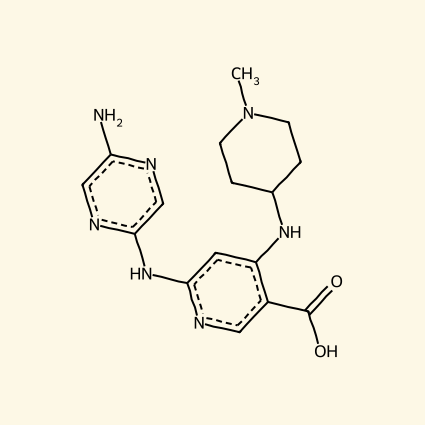 CN1CCC(Nc2cc(Nc3cnc(N)cn3)ncc2C(=O)O)CC1